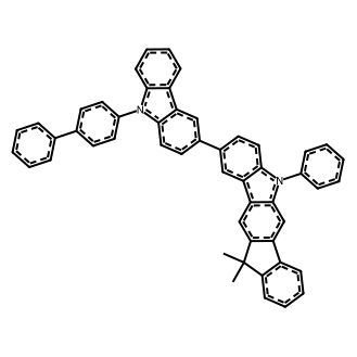 CC1(C)c2ccccc2-c2cc3c(cc21)c1cc(-c2ccc4c(c2)c2ccccc2n4-c2ccc(-c4ccccc4)cc2)ccc1n3-c1ccccc1